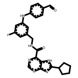 O=Cc1ccc(Nc2cc(F)cc(CNC(=O)c3ncnc4nc(C5CCCC5)[nH]c34)c2)cc1